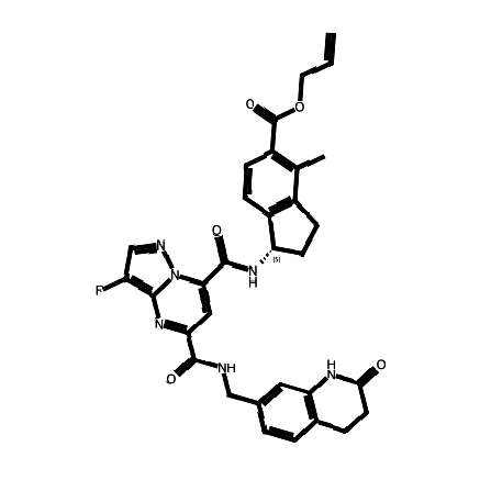 C=CCOC(=O)c1ccc2c(c1C)CC[C@@H]2NC(=O)c1cc(C(=O)NCc2ccc3c(c2)NC(=O)CC3)nc2c(F)cnn12